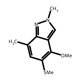 COc1c(SC)cc(C)c2nn(C)cc12